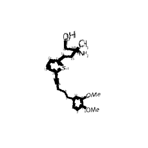 COc1ccc(CCCC#Cc2ccc(CCC(C)(N)CO)s2)cc1OC